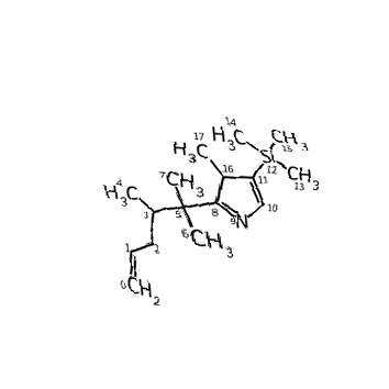 C=CCC(C)C(C)(C)C1=NC=C([Si](C)(C)C)C1C